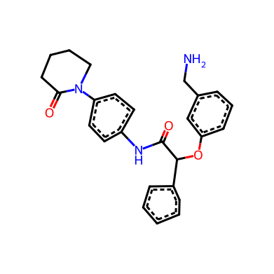 NCc1cccc(OC(C(=O)Nc2ccc(N3CCCCC3=O)cc2)c2ccccc2)c1